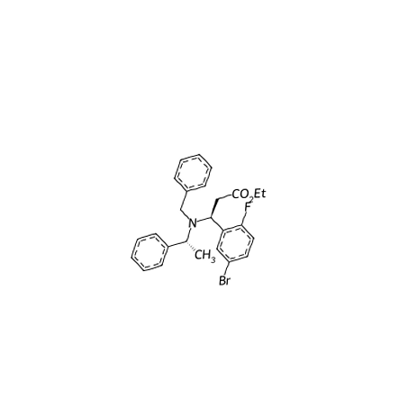 CCOC(=O)C[C@@H](c1cc(Br)ccc1F)N(Cc1ccccc1)[C@H](C)c1ccccc1